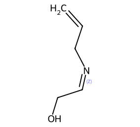 C=CC/N=C\CO